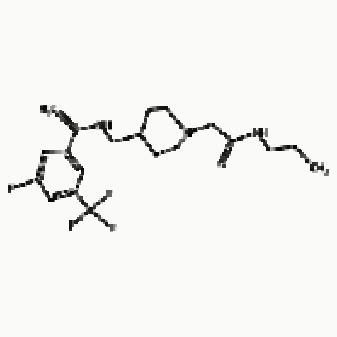 C=C(NCC1CCN(CC(=O)NCCC)CC1)c1cc(F)cc(C(F)(F)F)c1